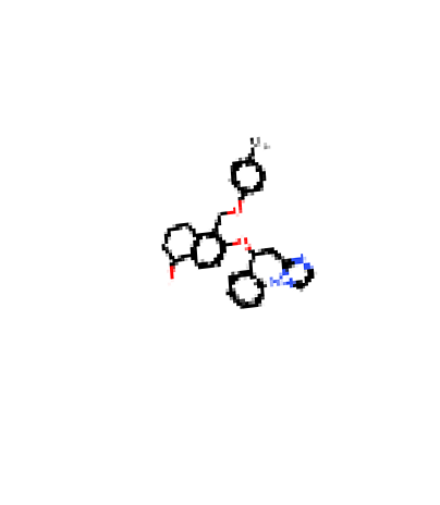 O=C1CCCc2c1ccc(OC(Cc1ncc[nH]1)c1ccccc1)c2COc1ccc(C(F)(F)F)cc1